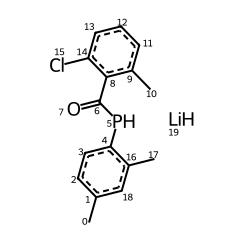 Cc1ccc(PC(=O)c2c(C)cccc2Cl)c(C)c1.[LiH]